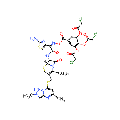 CC1=NC2=CN(C(=O)O)NN2C(SCC2=C(C(=O)O)N3C(=O)[C@@H](NC(=O)/C(=N\OC(=O)c4cc(OC(=O)CCl)c(OC(=O)CCl)c(OC(=O)CCl)c4)c4csc(N)n4)[C@H]3SC2)=C1